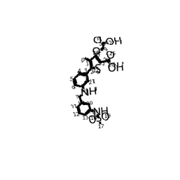 Cc1c(-c2cccc(NCc3cccc(NS(C)(=O)=O)c3)c2)sc(C(=O)O)c1OCC(=O)O